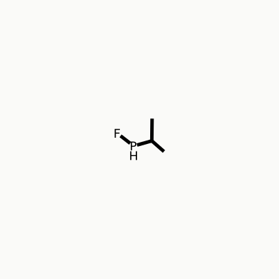 CC(C)PF